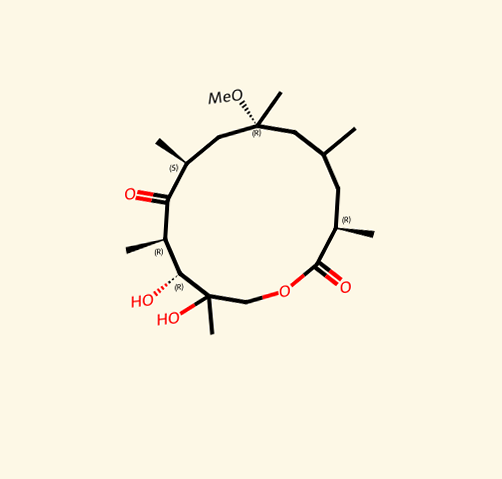 CO[C@]1(C)CC(C)C[C@@H](C)C(=O)OCC(C)(O)[C@H](O)[C@@H](C)C(=O)[C@@H](C)C1